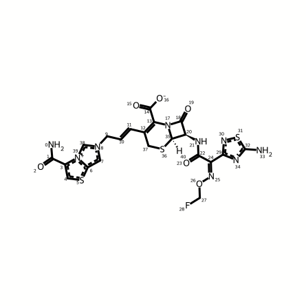 NC(=O)c1csc2cn(CC=CC3=C(C(=O)[O-])N4C(=O)[C@@H](NC(=O)/C(=N\OCF)c5nsc(N)n5)[C@H]4SC3)c[n+]12